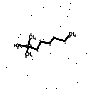 CCCCCC[Si](C)(C)N